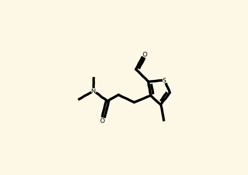 Cc1csc(C=O)c1CCC(=O)N(C)C